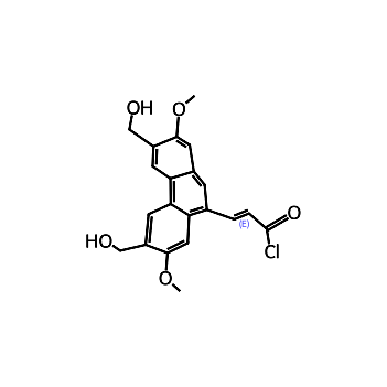 COc1cc2cc(/C=C/C(=O)Cl)c3cc(OC)c(CO)cc3c2cc1CO